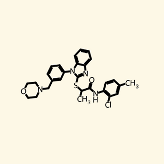 Cc1ccc(NC(=O)C(C)Sc2nc3ccccc3n2-c2cccc(CN3CCOCC3)c2)c(Cl)c1